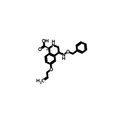 C=CCOc1ccc2c(c1)C(NOCc1ccccc1)CN[C@@H]2C(=O)O